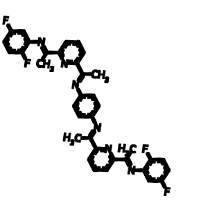 C/C(=N\c1ccc(/N=C(\C)c2cccc(/C(C)=N/c3cc(F)ccc3F)n2)cc1)c1cccc(/C(C)=N/c2cc(F)ccc2F)n1